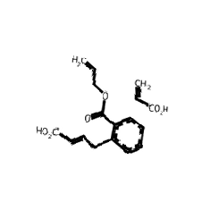 C=CC(=O)O.C=CCOC(=O)c1ccccc1C/C=C/C(=O)O